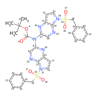 CC(C)(C)OC(=O)N(c1cnc2c(ccn2S(=O)(=O)Cc2ccccc2)n1)c1cnc2c(ccn2S(=O)(=O)Cc2ccccc2)n1